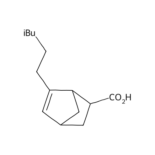 CCC(C)CCC1=CC2CC(C(=O)O)C1C2